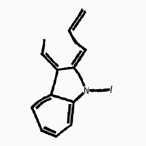 C=C/C=c1\c(=C/C)c2ccccc2n1I